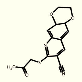 CC(=O)CSc1nc2c(cc1C#N)=CC1OCCOC1C=2